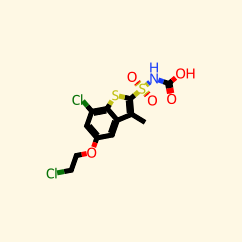 Cc1c(S(=O)(=O)NC(=O)O)sc2c(Cl)cc(OCCCl)cc12